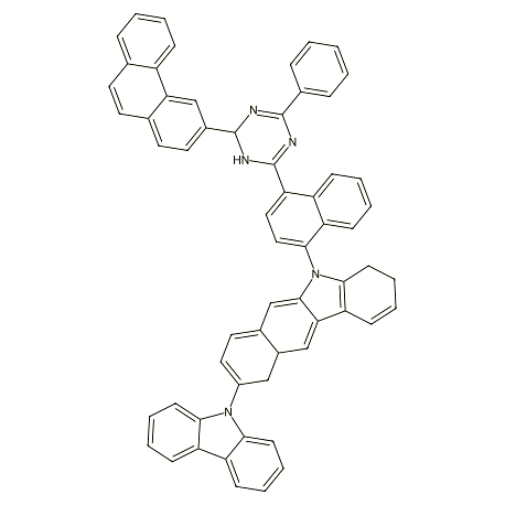 C1=Cc2c(n(-c3ccc(C4=NC(c5ccccc5)=NC(c5ccc6ccc7ccccc7c6c5)N4)c4ccccc34)c3c2=CC2CC(n4c5ccccc5c5ccccc54)=CC=C2C=3)CC1